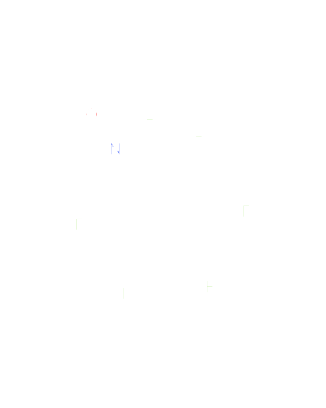 [O-][N+](F)(F)c1c(F)c(F)c(F)c(F)c1F